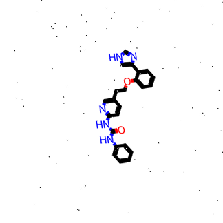 O=C(Nc1ccccc1)Nc1ccc(CCOc2ccccc2-c2c[nH]cn2)cn1